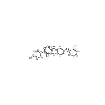 O=C(O)/C(=C\c1ccc(Oc2ccccc2I)cc1)NC(=O)c1ccc(I)cc1